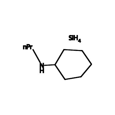 CCCNC1CCCCC1.[SiH4]